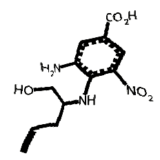 C=CCC(CO)Nc1c(N)cc(C(=O)O)cc1[N+](=O)[O-]